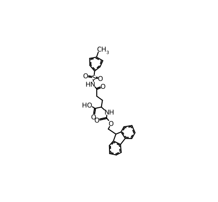 Cc1ccc(S(=O)(=O)NC(=O)CCC(NC(=O)OCC2c3ccccc3-c3ccccc32)C(=O)O)cc1